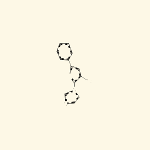 Brc1cc(-c2ccccc2)sc1-n1ccnc1